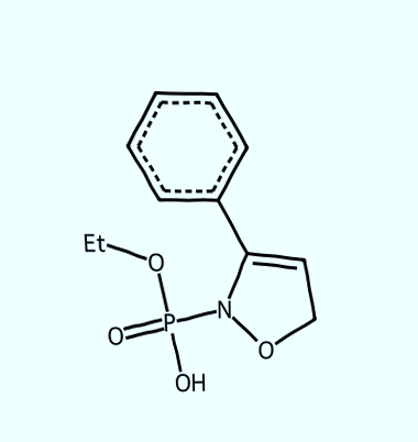 CCOP(=O)(O)N1OCC=C1c1ccccc1